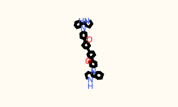 C1=Cc2c(c3ccccc3n2-c2ccc3c(c2)oc2cc(-c4ccc5c(c4)oc4cc(-n6c7c(c8ccccc86)NCC=C7)ccc45)ccc23)NC1